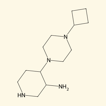 NC1CNCCC1N1CCN(C2CCC2)CC1